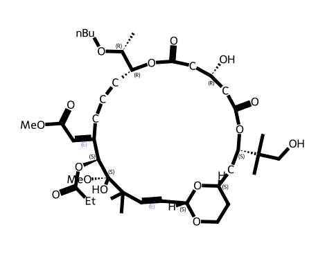 CCCCO[C@H](C)[C@H]1CCC/C(=C\C(=O)OC)[C@H](OC(=O)CC)[C@@](O)(OC)C(C)(C)/C=C/[C@H]2OCC[C@@H](C[C@@H](C(C)(C)CO)OC(=O)C[C@@H](O)CC(=O)O1)O2